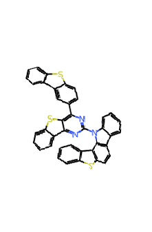 c1ccc2c(c1)sc1ccc(-c3nc(-n4c5ccccc5c5ccc6sc7ccccc7c6c54)nc4c3sc3ccccc34)cc12